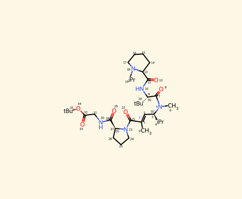 C/C(=C\[C@H](C(C)C)N(C)C(=O)[C@@H](NC(=O)C1CCCCN1C(C)C)C(C)(C)C)C(=O)N1CCC[C@H]1C(=O)NCC(=O)OC(C)(C)C